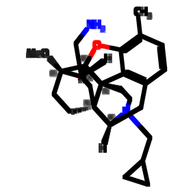 CO[C@]12CC[C@@]3(C[C@H]1CN)[C@H]1Cc4ccc(C)c5c4[C@@]3(CCN1CC1CC1)[C@H]2O5